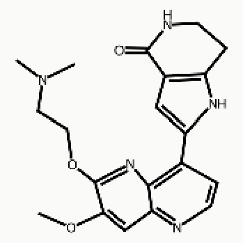 COc1cc2nccc(-c3cc4c([nH]3)CCNC4=O)c2nc1OCCN(C)C